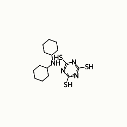 C1CCC(NC2CCCCC2)CC1.Sc1nc(S)nc(S)n1